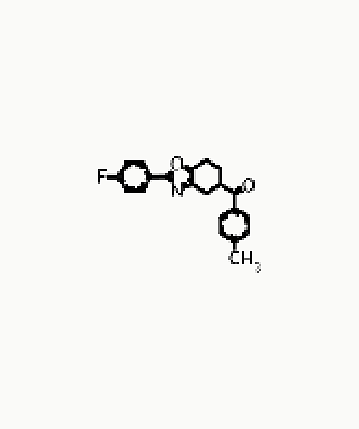 Cc1ccc(C(=O)C2CCc3oc(-c4ccc(F)cc4)nc3C2)cc1